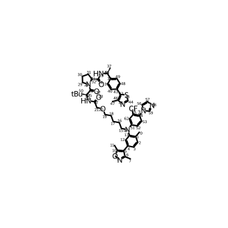 Cc1ccc(-c2c(C)noc2C)cc1N(CCCCCOCC(=O)N[C@H](C(=O)N1CCC[C@H]1C(=O)N[C@@H](C)c1ccc(-c2scnc2C)cc1)C(C)(C)C)c1ccc(-n2ccnc2)c(C(F)(F)F)c1